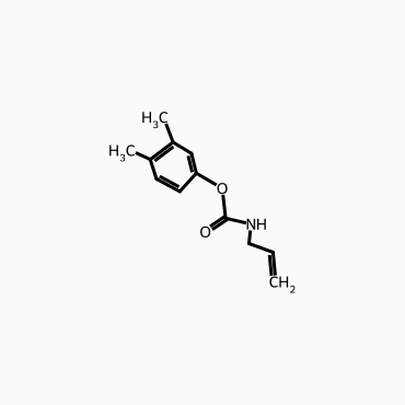 C=CCNC(=O)Oc1ccc(C)c(C)c1